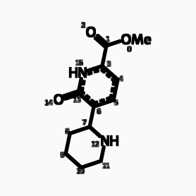 COC(=O)c1ccc(C2CCCCN2)c(=O)[nH]1